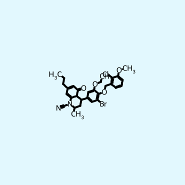 CCCC1=CC(=O)C2C(=C1)N(C#N)C(C)CC2c1cc(Br)c(OCc2cccc(OC)c2Cl)c(OCC)c1